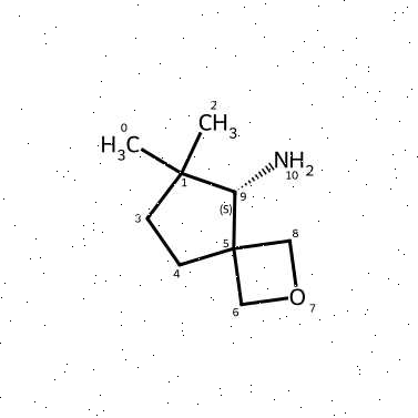 CC1(C)CCC2(COC2)[C@H]1N